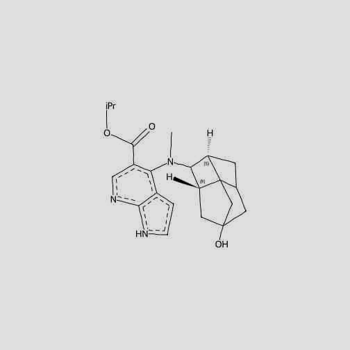 CC(C)OC(=O)c1cnc2[nH]ccc2c1N(C)C1[C@@H]2CC3C[C@H]1CC(O)(C3)C2